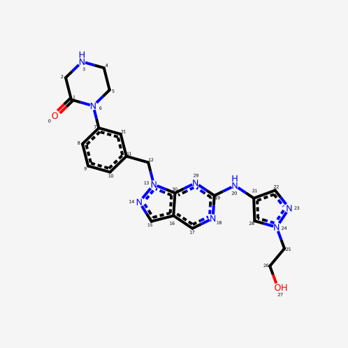 O=C1CNCCN1c1cccc(Cn2ncc3cnc(Nc4cnn(CCO)c4)nc32)c1